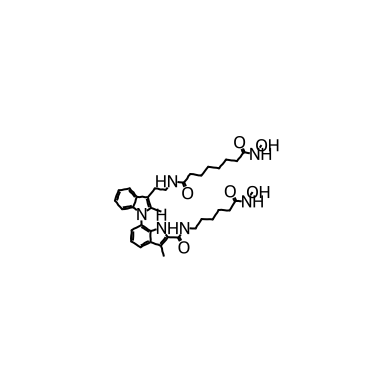 Cc1c(C(=O)NCCCCCC(=O)NO)[nH]c2c(-n3c(C)c(CCNC(=O)CCCCCCC(=O)NO)c4ccccc43)cccc12